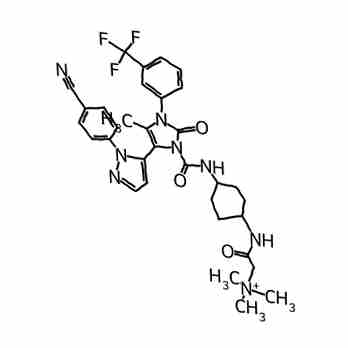 Cc1c(-c2ccnn2-c2ccc(C#N)cc2)n(C(=O)NC2CCC(NC(=O)C[N+](C)(C)C)CC2)c(=O)n1-c1cccc(C(F)(F)F)c1